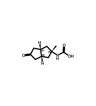 C[C@]1(NC(=O)O)C[C@H]2CC(=O)C[C@H]2C1